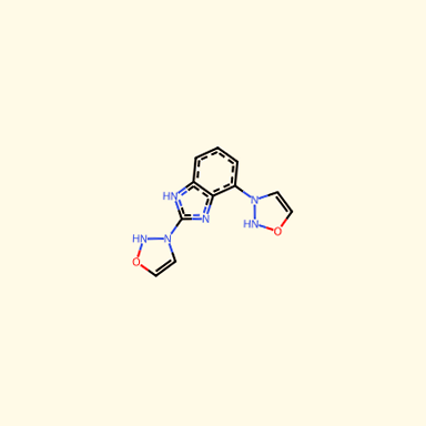 C1=CN(c2nc3c(N4C=CON4)cccc3[nH]2)NO1